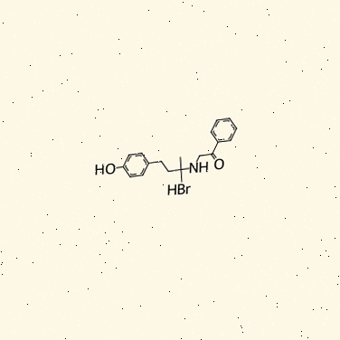 Br.CC(C)(CCc1ccc(O)cc1)NCC(=O)c1ccccc1